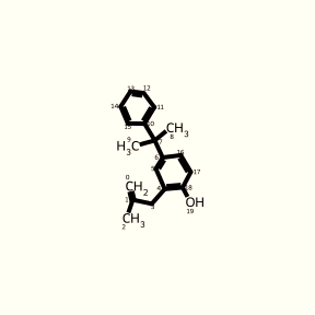 C=C(C)Cc1cc(C(C)(C)c2ccccc2)ccc1O